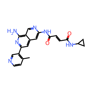 Cc1ccncc1-c1cc2cc(NC(=O)/C=C/C(=O)NC3CC3)ncc2c(N)n1